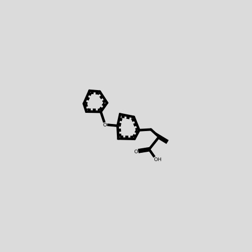 C=C(Cc1ccc(Oc2ccccc2)cc1)C(=O)O